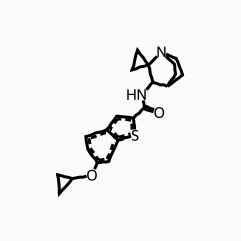 O=C(NC1C2CCN(CC2)C12CC2)c1cc2ccc(OC3CC3)cc2s1